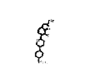 CCCCCC1CCC(C2CCC(c3ccc4cc(CCC)sc4c3F)OC2)CC1